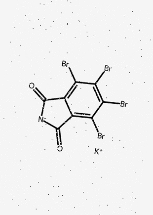 O=C1[N-]C(=O)c2c(Br)c(Br)c(Br)c(Br)c21.[K+]